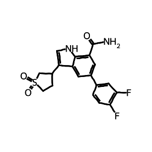 NC(=O)c1cc(-c2ccc(F)c(F)c2)cc2c(C3CCS(=O)(=O)C3)c[nH]c12